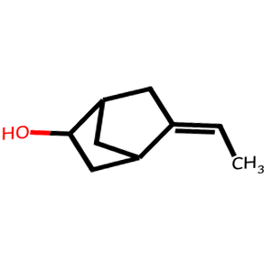 C/C=C1/CC2CC1CC2O